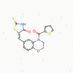 O=C1NC(=S)SC1=Cc1ccc2c(c1)N(C(=O)c1cccs1)CCO2